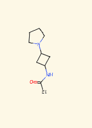 CCC(=O)NC1CC(N2CCCC2)C1